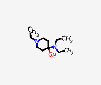 CCN1CCC(O)(N(CC)CC)CC1